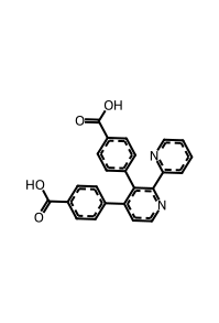 O=C(O)c1ccc(-c2ccnc(-c3ccccn3)c2-c2ccc(C(=O)O)cc2)cc1